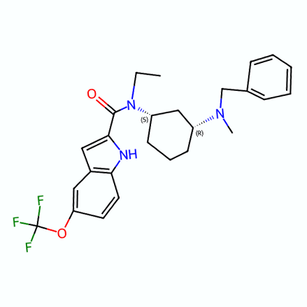 CCN(C(=O)c1cc2cc(OC(F)(F)F)ccc2[nH]1)[C@H]1CCC[C@@H](N(C)Cc2ccccc2)C1